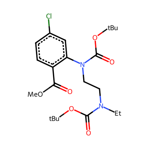 CCN(CCN(C(=O)OC(C)(C)C)c1cc(Cl)ccc1C(=O)OC)C(=O)OC(C)(C)C